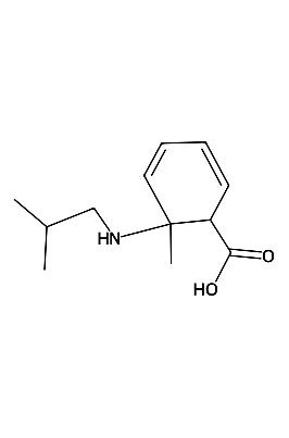 CC(C)CNC1(C)C=CC=CC1C(=O)O